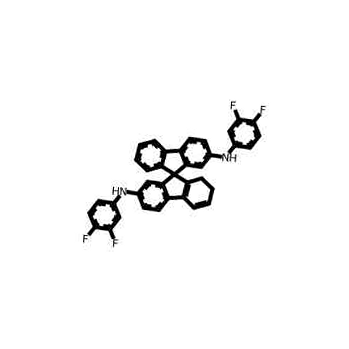 Fc1ccc(Nc2ccc3c(c2)C2(C4=C3C=CCC4)c3ccccc3-c3ccc(Nc4ccc(F)c(F)c4)cc32)cc1F